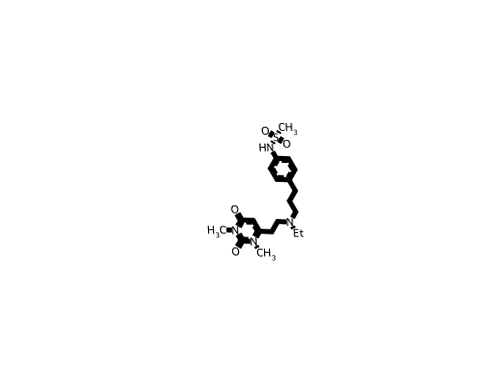 CCN(CCCc1ccc(NS(C)(=O)=O)cc1)CCc1cc(=O)n(C)c(=O)n1C